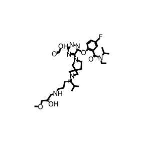 CCN(C(=O)c1cc(F)ccc1Oc1nncnc1N1CCC2(C1)CN([C@H](CCCNC[C@H](O)COC)C(C)C)C2)C(C)C.O=CO